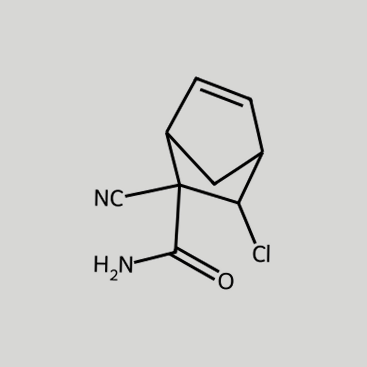 N#CC1(C(N)=O)C2C=CC(C2)C1Cl